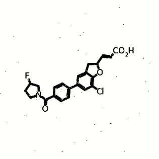 O=C(O)C=CC1Cc2cc(-c3ccc(C(=O)N4CCC(F)C4)cc3)cc(Cl)c2O1